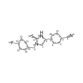 N#Cc1ccc(-c2cn(Cc3ccc(F)cc3)c(=S)[nH]2)cc1